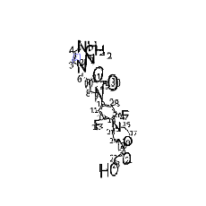 C=NN(/C=C\N)C[C@H]1CN(c2cc(F)c(N3CCON(C(=O)CO)CC3)c(F)c2)C(=O)O1